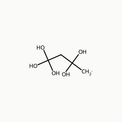 [CH2]C(O)(O)CC(O)(O)O